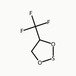 FC(F)(F)C1COSO1